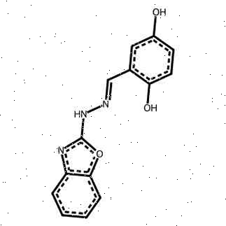 Oc1ccc(O)c(/C=N/Nc2nc3ccccc3o2)c1